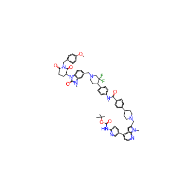 COc1ccc(CN2C(=O)CCC(n3c(=O)n(C)c4cc(CN5CCC(c6ccc(N(C)C(=O)c7ccc(C8CCN(Cc9cc%10c(-c%11ccc(NC(=O)OC(C)(C)C)nc%11)ccnc%10n9C)CC8)cc7)cc6)C(F)(F)C5)ccc43)C2=O)cc1